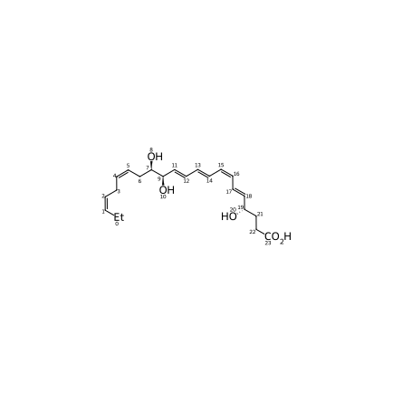 CC/C=C\C/C=C\C[C@@H](O)[C@H](O)/C=C/C=C/C=C\C=C\[C@@H](O)CCC(=O)O